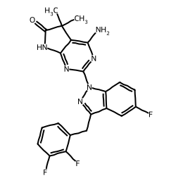 CC1(C)C(=O)Nc2nc(-n3nc(Cc4cccc(F)c4F)c4cc(F)ccc43)nc(N)c21